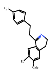 CCc1cc2c(cc1OC)CCN=C2CCc1ccc(C(F)(F)F)cc1